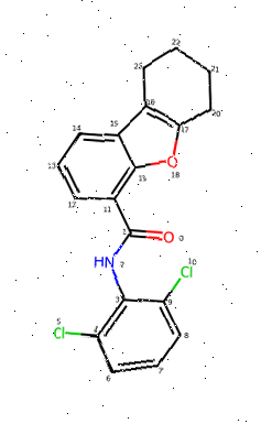 O=C(Nc1c(Cl)cccc1Cl)c1cccc2c3c(oc12)CCCC3